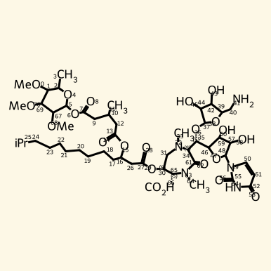 COC1C(C)OC(OC(=O)CC(C)CC(=O)OC(CCCCCCCCC(C)C)CC(=O)O[C@H]2CN(C)[C@@H]([C@H](OC3OC(CN)C(O)C3O)C3OC(n4ccc(=O)[nH]c4=O)C(O)C3O)C(=O)N(C)[C@@H]2C(=O)O)C(OC)C1OC